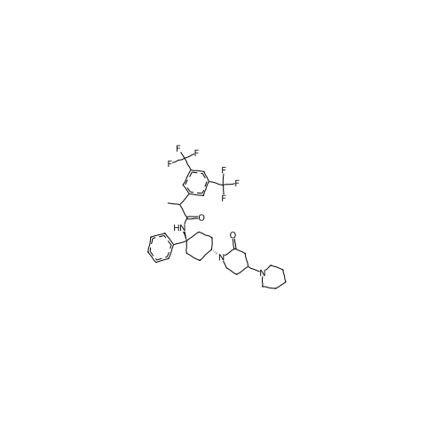 CC(C(=O)N[C@]1(c2ccccc2)CC[C@@H](N2CCC(N3CCCCC3)CC2=O)CC1)c1cc(C(F)(F)F)cc(C(F)(F)F)c1